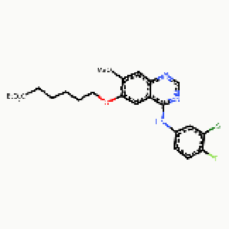 CCOC(=O)CCCCCOc1cc2c(Nc3ccc(F)c(Cl)c3)ncnc2cc1OC